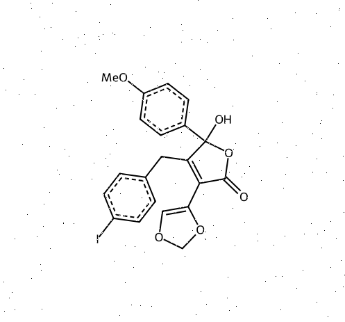 COc1ccc(C2(O)OC(=O)C(C3=COCO3)=C2Cc2ccc(I)cc2)cc1